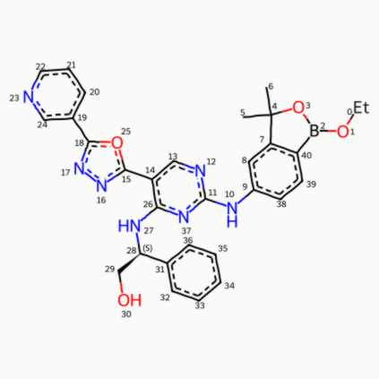 CCOB1OC(C)(C)c2cc(Nc3ncc(-c4nnc(-c5cccnc5)o4)c(N[C@H](CO)c4ccccc4)n3)ccc21